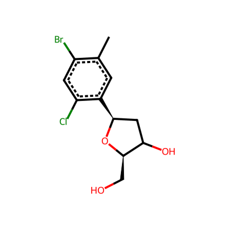 Cc1cc([C@H]2CC(O)[C@@H](CO)O2)c(Cl)cc1Br